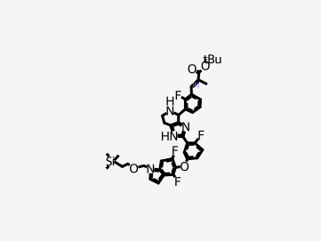 C/C(=C\c1cccc(C2NCCc3[nH]c(-c4cc(Oc5c(F)cc6c(ccn6COCC[Si](C)(C)C)c5F)ccc4F)nc32)c1F)C(=O)OC(C)(C)C